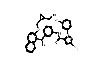 N#Cc1cccc(-n2nc(C(F)(F)F)cc2C(=O)Nc2cccc(C(O)c3c(OCC4CC4CO)ccc4ccccc34)c2)c1